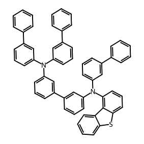 c1ccc(-c2cccc(N(c3cccc(-c4ccccc4)c3)c3cccc(-c4cccc(N(c5cccc(-c6ccccc6)c5)c5cccc6sc7ccccc7c56)c4)c3)c2)cc1